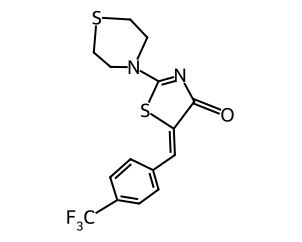 O=C1N=C(N2CCSCC2)S/C1=C\c1ccc(C(F)(F)F)cc1